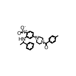 Cc1ccc(C(=O)N2CCN(c3ccc([N+](=O)[O-])c(NC(C)c4ccccc4)c3)CC2)cc1